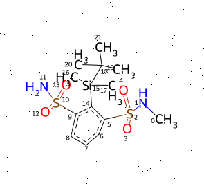 CNS(=O)(=O)c1cccc(S(N)(=O)=O)c1[Si](C)(C)C(C)(C)C